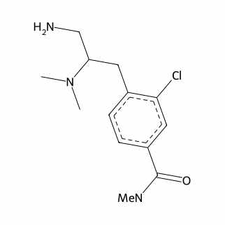 CNC(=O)c1ccc(CC(CN)N(C)C)c(Cl)c1